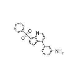 Nc1cccc(-c2ccnc3c2ccn3S(=O)(=O)c2ccccc2)c1